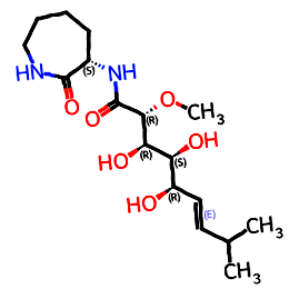 CO[C@@H](C(=O)N[C@H]1CCCCNC1=O)[C@H](O)[C@@H](O)[C@H](O)/C=C/C(C)C